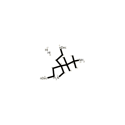 CCCCCCCCCCCCC(CN)(CCCCCCCCCCCC)C(C)(C)C(C)(C)N.I.I